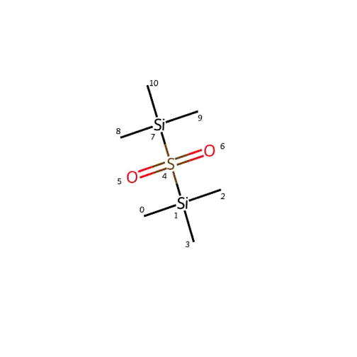 C[Si](C)(C)S(=O)(=O)[Si](C)(C)C